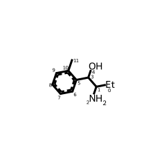 CCC(N)C(O)c1ccccc1C